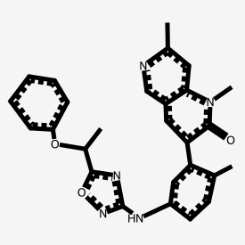 Cc1cc2c(cn1)cc(-c1cc(Nc3noc(C(C)Oc4ccccc4)n3)ccc1C)c(=O)n2C